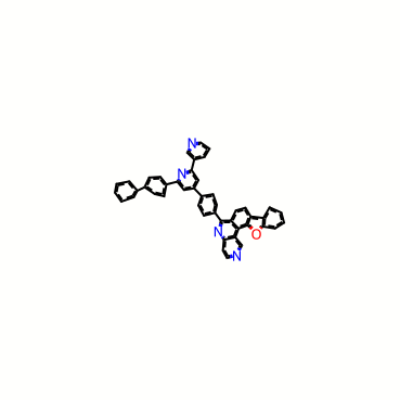 c1ccc(-c2ccc(-c3cc(-c4ccc(-c5nc6ccncc6c6c5ccc5c7ccccc7oc56)cc4)cc(-c4cccnc4)n3)cc2)cc1